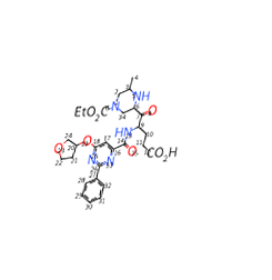 CCOC(=O)N1CC(C)NC(C(=O)C(CCC(=O)O)NC(=O)c2cc(OC3CCOC3)nc(-c3ccccc3)n2)C1